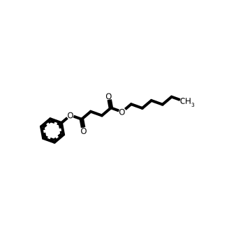 CCCCCCOC(=O)CCC(=O)Oc1ccccc1